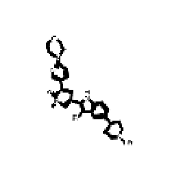 CCCN1CCC(c2ccc3[nH]c(-c4cc(-c5ccc(N6CCOCC6)nc5)c(=O)n(C)c4)c(C(C)C)c3c2)CC1